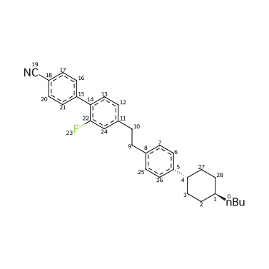 CCCC[C@H]1CC[C@H](c2ccc(CCc3ccc(-c4ccc(C#N)cc4)c(F)c3)cc2)CC1